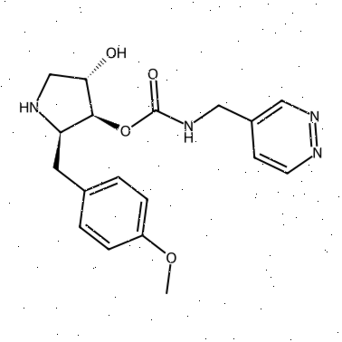 COc1ccc(C[C@H]2NC[C@H](O)[C@H]2OC(=O)NCc2ccnnc2)cc1